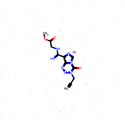 C#CCn1nnc2c(C(=N)NCC(=O)OC)ncn2c1=O.I